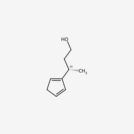 C[C@@H](CCO)C1=CCC=C1